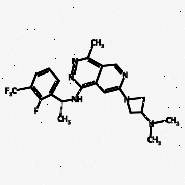 Cc1nnc(N[C@H](C)c2cccc(C(F)(F)F)c2F)c2cc(N3CC(N(C)C)C3)ncc12